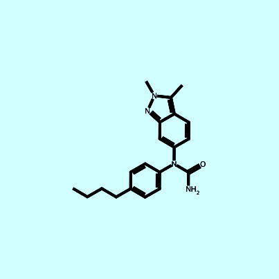 CCCCc1ccc(N(C(N)=O)c2ccc3c(C)n(C)nc3c2)cc1